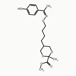 COC(=O)C1(C)OCC(CCCCON=C(C)c2ccc(O)cc2)CO1